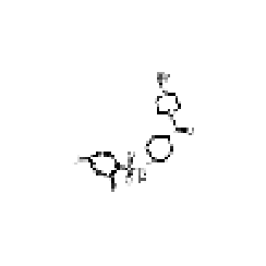 CC(C)N1CCN(C(=O)[C@H]2CC[C@@H](NS(=O)(=O)c3ccc(Cl)cc3F)CC2)CC1